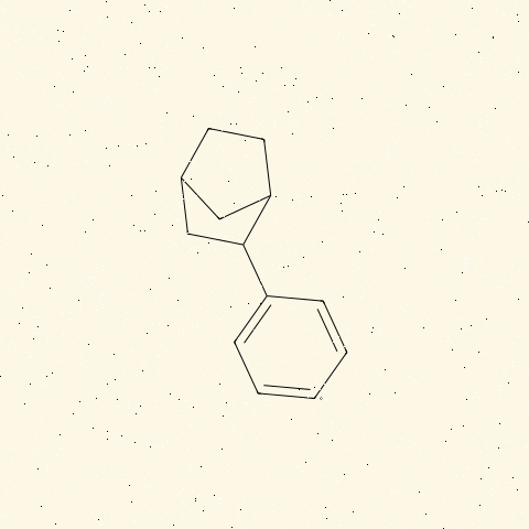 [c]1ccc(C2CC3CCC2C3)cc1